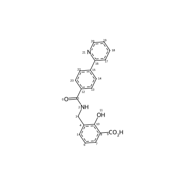 O=C(NCc1cccc(C(=O)O)c1O)c1ccc(-c2ccccn2)cc1